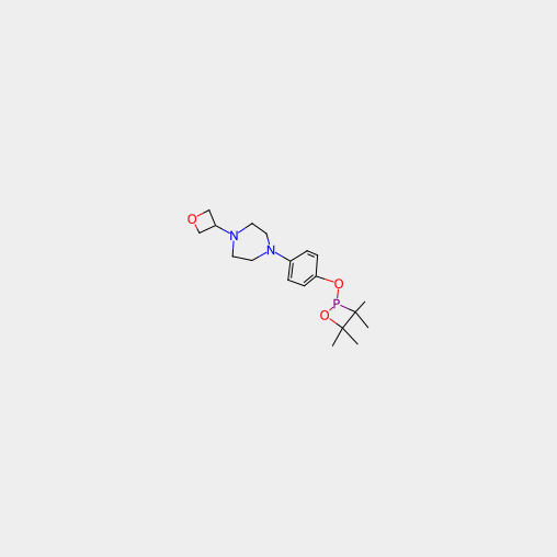 CC1(C)OP(Oc2ccc(N3CCN(C4COC4)CC3)cc2)C1(C)C